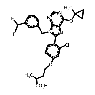 CC(CCOc1ccc(-c2nc3c(OC4(C)CC4)ncnc3n2Cc2cccc(C(F)F)c2)c(Cl)c1)C(=O)O